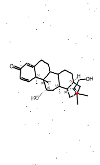 CC1(C)C[C@@H]2CCC3C4CCC5=CC(=O)C=C[C@]5(C)[C@@]4(F)[C@@H](O)C[C@]3(C)[C@]2(C(=O)CO)C1